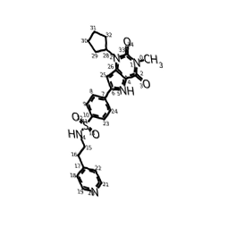 Cn1c(=O)c2[nH]c(-c3ccc(S(=O)(=O)NCCc4ccncc4)cc3)cc2n(C2CCCC2)c1=O